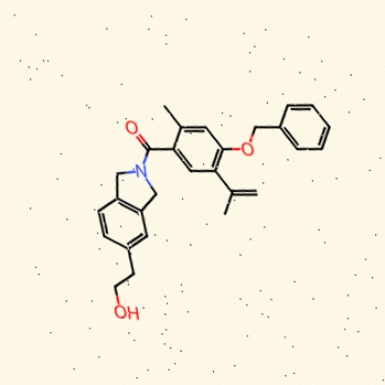 C=C(C)c1cc(C(=O)N2Cc3ccc(CCO)cc3C2)c(C)cc1OCc1ccccc1